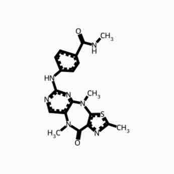 CNC(=O)c1ccc(Nc2ncc3c(n2)N(C)c2sc(C)nc2C(=O)N3C)cc1